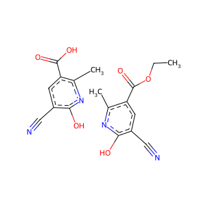 CCOC(=O)c1cc(C#N)c(O)nc1C.Cc1nc(O)c(C#N)cc1C(=O)O